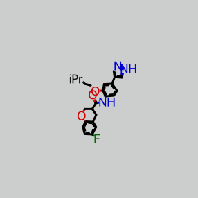 CC(C)CCOc1cc(-c2cn[nH]c2)ccc1NC(=O)C1COc2ccc(F)cc2C1